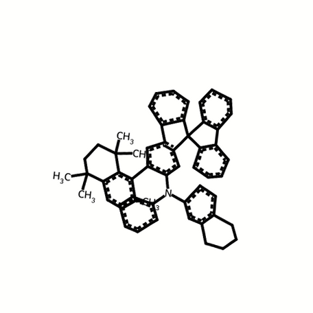 Cc1ccc2c(c1-c1cc3c(cc1N(c1ccccc1)c1ccc4c(c1)CCCC4)C1(c4ccccc4-c4ccccc41)c1ccccc1-3)C(C)(C)CCC2(C)C